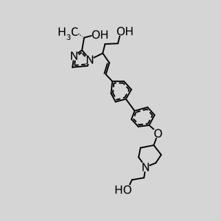 C[C@H](O)c1nccn1C(/C=C/c1ccc(-c2ccc(OC3CCN(CCO)CC3)cc2)cc1)CCO